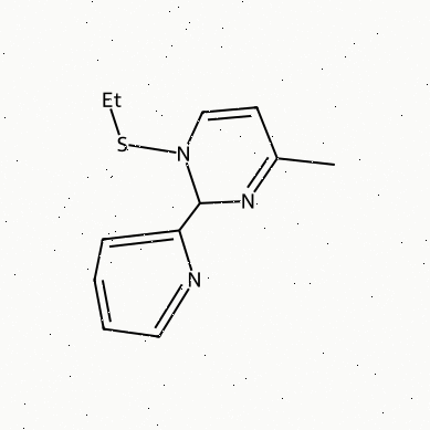 CCSN1C=CC(C)=NC1c1ccccn1